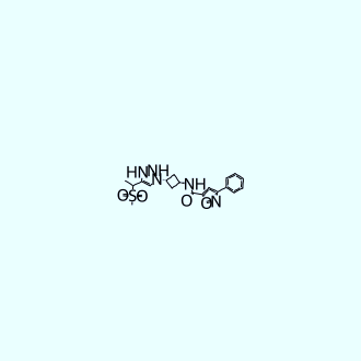 CC(C1=CN([C@H]2C[C@H](NC(=O)c3cc(-c4ccccc4)no3)C2)NN1)S(C)(=O)=O